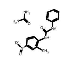 Cc1cc([N+](=O)[O-])ccc1NC(=O)Nc1ccccc1.NC(N)=O